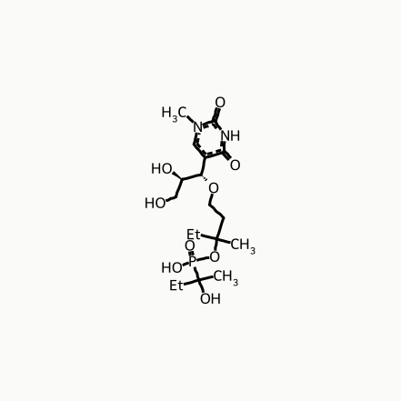 CCC(C)(CCO[C@@H](c1cn(C)c(=O)[nH]c1=O)[C@H](O)CO)OP(=O)(O)C(C)(O)CC